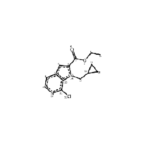 CCOC(=O)c1cc2ccnc(Cl)c2n1CC1CC1